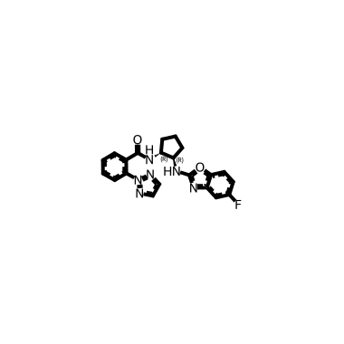 O=C(N[C@@H]1CCC[C@H]1Nc1nc2cc(F)ccc2o1)c1ccccc1-n1nccn1